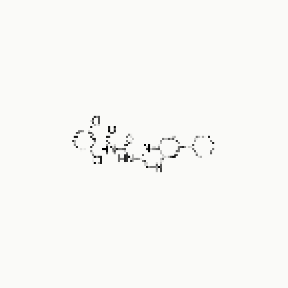 O=C(NC(=O)c1c(Cl)cccc1Cl)Nc1cnc2cc(C3CCCCC3)ccc2n1